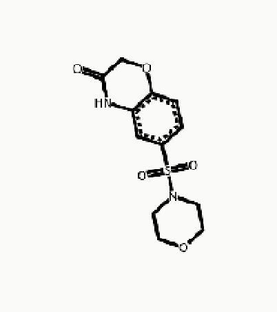 O=C1COc2ccc(S(=O)(=O)N3CCOCC3)cc2N1